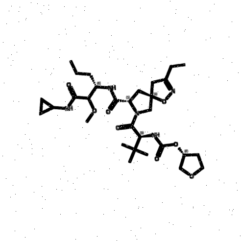 CCC[C@H](NC(=O)[C@@H]1C[C@]2(CC(CC)=NO2)CN1C(=O)[C@@H](NC(=O)O[C@@H]1CCOC1)C(C)(C)C)C(OC)C(=O)NC1CC1